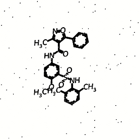 COc1ccc(NC(=O)c2c(C)noc2-c2ccccc2)cc1S(=O)(=O)Nc1c(C)cccc1C